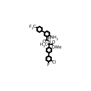 COC(=O)C(C)(NC(=O)c1cc(-c2ccc(C(F)(F)F)cc2)ccc1N)c1ccc(-c2ccc(F)c(Cl)c2)cc1